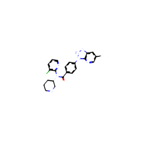 Cc1cnc2c(c1)NNN2c1ccc(C(=O)N(c2ncccc2Cl)[C@@H]2CCCNC2)cc1